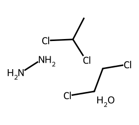 CC(Cl)Cl.ClCCCl.NN.O